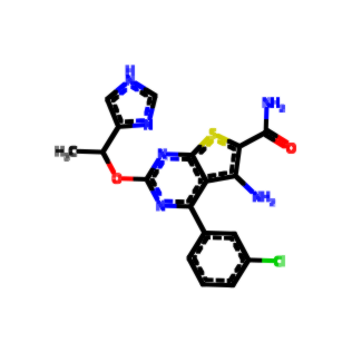 CC(Oc1nc(-c2cccc(Cl)c2)c2c(N)c(C(N)=O)sc2n1)c1c[nH]cn1